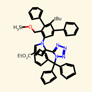 CCOC(=O)c1cc(-c2nnnn2C(c2ccccc2)(c2ccccc2)c2ccccc2)n(-c2cc(-c3ccccc3)c(C(C)(C)C)c(-c3ccccc3)c2CO[SiH3])c1